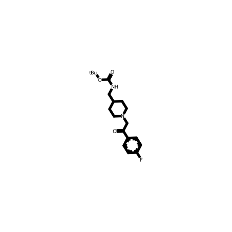 CC(C)(C)OC(=O)NCC1CCN(CC(=O)c2ccc(F)cc2)CC1